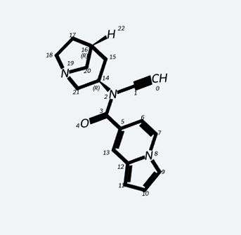 C#CN(C(=O)c1ccn2cccc2c1)[C@@H]1C[C@H]2CCN(C2)C1